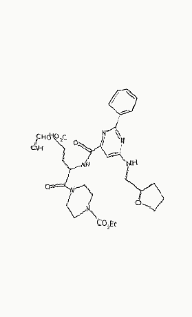 CCOC(=O)N1CCN(C(=O)C(CCC(=O)O)NC(=O)c2cc(NCC3CCCO3)nc(-c3ccccc3)n2)CC1.O=CO